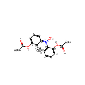 C=C1C(OC(=O)CCCC)=CC=C/C1=[N+](\[O-])c1c(N=O)cccc1OC(=O)CCCC